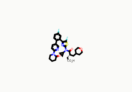 O=C(O)C[C@@H](CC1CCOCC1)C(=O)N(c1nc(-c2cc(F)ccc2-c2ccc(N3CCCCC3=O)nc2)c(F)s1)C1CC1